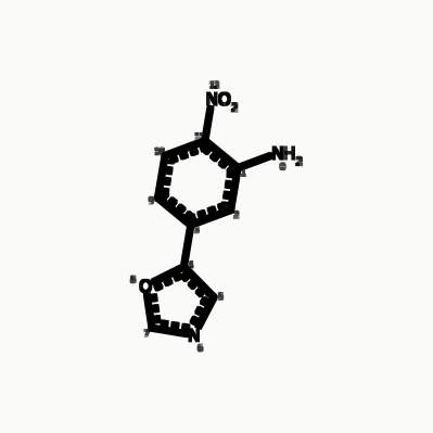 Nc1cc(-c2cnco2)ccc1[N+](=O)[O-]